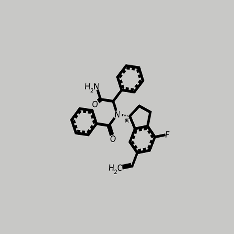 C=Cc1cc(F)c2c(c1)[C@H](N(C(=O)c1ccccc1)C(C(N)=O)c1ccccc1)CC2